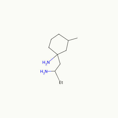 CCC(N)CC1(N)CCCC(C)C1